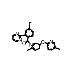 Cc1ccc(OC2CC3CC2N(C(=O)c2ccc(F)cc2-c2ncccn2)C3C)nc1